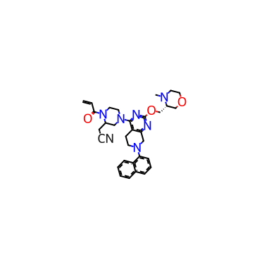 C=CC(=O)N1CCN(c2nc(OC[C@H]3COCCN3C)nc3c2CCN(c2cccc4ccccc24)C3)CC1CC#N